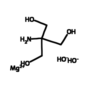 NC(CO)(CO)CO.[Mg+2].[OH-].[OH-]